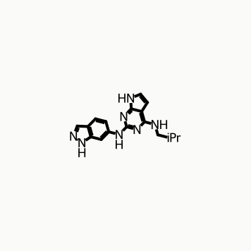 CC(C)CNc1nc(Nc2ccc3cn[nH]c3c2)nc2[nH]ccc12